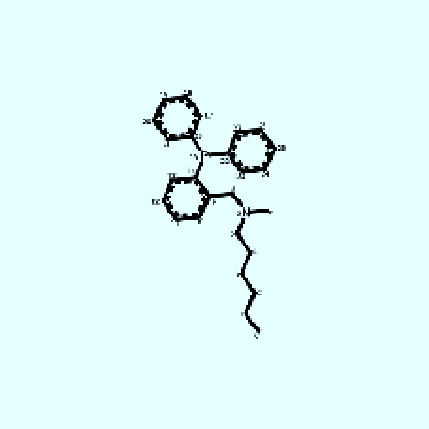 CCCCCCN(C)Cc1ccccc1P(c1ccccc1)c1ccccc1